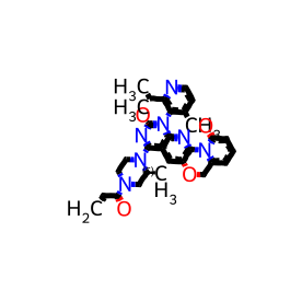 C=CC(=O)N1CCN(c2nc(=O)n(-c3c(C)ccnc3C(C)C)c3nc4c(cc23)OCc2cccc(=O)n2-4)[C@@H](C)C1